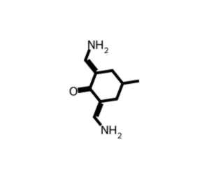 CC1C/C(=C\N)C(=O)/C(=C/N)C1